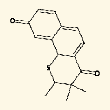 CC1SC2C(=CC=C3C=CC(=O)C=C32)C(=O)C1(C)C